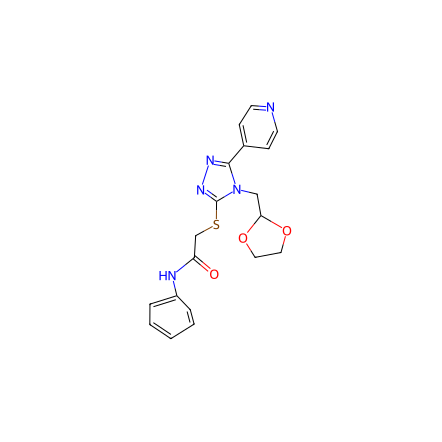 O=C(CSc1nnc(-c2ccncc2)n1CC1OCCO1)Nc1ccccc1